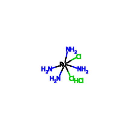 Cl.[NH2][Ru]([NH2])([NH2])([NH2])([Cl])[Cl]